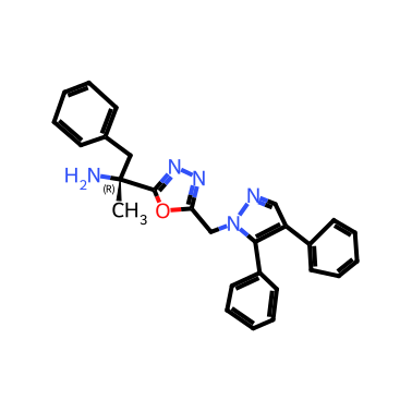 C[C@@](N)(Cc1ccccc1)c1nnc(Cn2ncc(-c3ccccc3)c2-c2ccccc2)o1